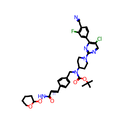 CC(C)(C)OC(=O)N(Cc1ccc(/C=C/C(=O)NOC2CCCCO2)cc1)C1CCN(c2ncc(Cl)c(-c3ccc(C#N)c(F)c3)n2)CC1